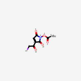 CCCCC(=O)ON1C(=O)C=C(C(=O)CI)C1=O